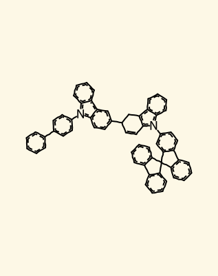 C1=CC(c2ccc3c(c2)c2ccccc2n3-c2ccc(-c3ccccc3)cc2)Cc2c1n(-c1ccc3c(c1)C1(c4ccccc4-c4ccccc41)c1ccccc1-3)c1ccccc21